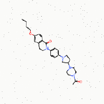 CCCCOc1ccc2c(c1)CCN(c1ccc(N3CCC(N4CCN(C(C)=O)CC4)C3)cc1)C2=O